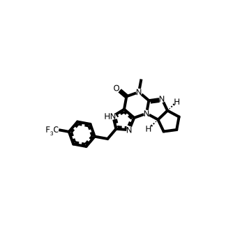 CN1C(=O)c2[nH]c(Cc3ccc(C(F)(F)F)cc3)nc2N2C1=N[C@H]1CCC[C@H]12